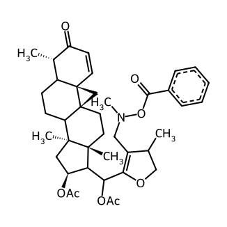 CC(=O)OC(C1=C(CN(C)OC(=O)c2ccccc2)C(C)CO1)C1[C@@H](OC(C)=O)C[C@@]2(C)C3CCC4[C@H](C)C(=O)C=C[C@@]45C[C@@]35CC[C@]12C